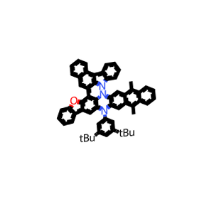 Cc1c2ccccc2c(C)c2cc3c(cc12)n(-c1cc(C(C)(C)C)cc(C(C)(C)C)c1)c1cc2c4ccccc4oc2c2c1-n3n1c3ccccc3c3c4ccccc4cc2c31